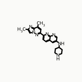 Cc1cn2nc(-c3ccc4cc(NC5CCNCC5)cnc4n3)cc(C)c2n1